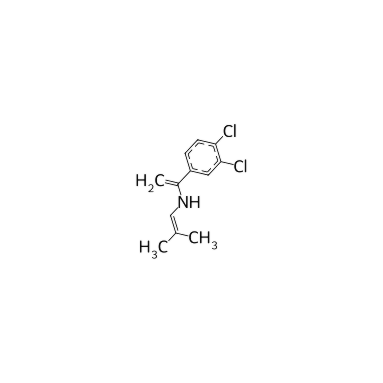 C=C(NC=C(C)C)c1ccc(Cl)c(Cl)c1